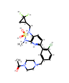 CC(=O)N1CCN(Cc2ccc(Cl)c(-c3ccc4c(n3)N(C)S(=O)(=O)N4CC3CC3(F)F)c2)CC1